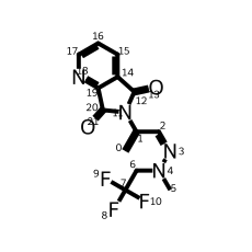 C=C(/C=N\N(C)CC(F)(F)F)N1C(=O)c2cccnc2C1=O